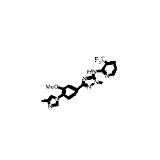 COc1cc(-c2nc(Nc3ncccc3C(F)(F)F)n(C)n2)ccc1-n1cnc(C)c1